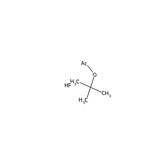 CC(=O)OC(C)(C)C.F